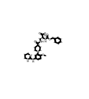 COc1ccc(NC2=NCCCN2)cc1N1CCC(C(=O)NC[C@H](NC(=O)OCc2ccccc2)C(=O)O)CC1